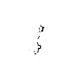 CN(C)Cc1ccc(CSCCNn2snc(N)c2=O)s1